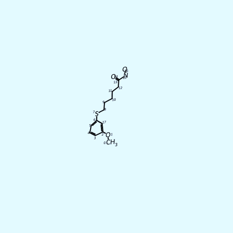 COc1cccc(SCCCCCC(=O)N=O)c1